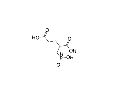 O=C(O)CCC(C[PH](=O)O)C(=O)O